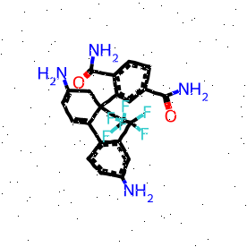 NC(=O)c1ccc(C(N)=O)c(C2(C(F)(F)F)CC(N)=CC=C2c2ccc(N)cc2C(F)(F)F)c1